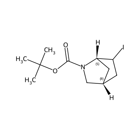 CC(C)(C)OC(=O)N1C[C@H]2CC(I)[C@@H]1C2